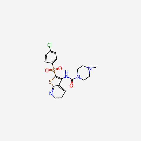 CN1CCN(C(=O)Nc2c(S(=O)(=O)c3ccc(Cl)cc3)sc3ncccc23)CC1